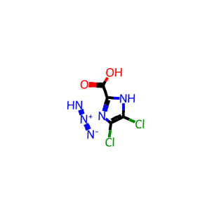 O=C(O)c1nc(Cl)c(Cl)[nH]1.[N-]=[N+]=N